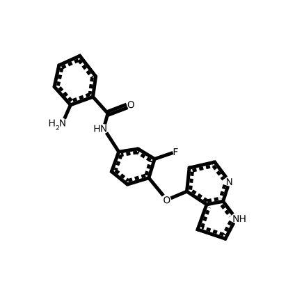 Nc1ccccc1C(=O)Nc1ccc(Oc2ccnc3[nH]ccc23)c(F)c1